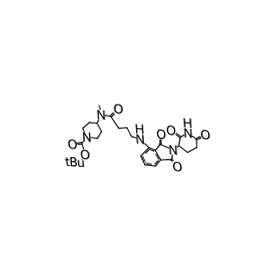 CN(C(=O)CCCNc1cccc2c1C(=O)N(C1CCC(=O)NC1=O)C2=O)C1CCN(C(=O)OC(C)(C)C)CC1